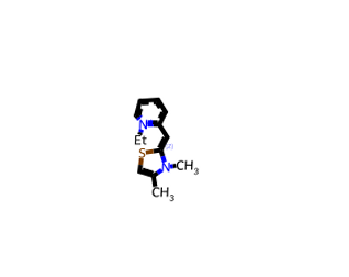 CC[n+]1ccccc1/C=C1\SC=C(C)N1C